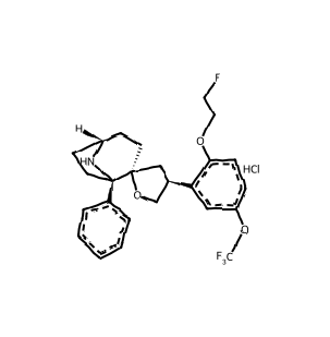 Cl.FCCOc1ccc(OC(F)(F)F)cc1[C@H]1CO[C@]2(CC[C@H]3CC[C@]2(c2ccccc2)N3)C1